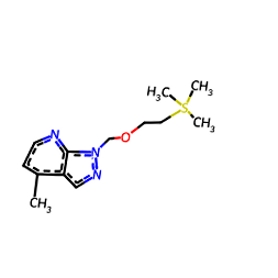 Cc1ccnc2c1cnn2COCCS(C)(C)C